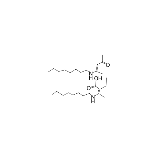 CCCCCCCCNC(C)=C(CC)C(=O)O.CCCCCCCCNC(C)=CC(C)=O